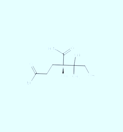 CCC(=O)CC[C@](O)(C(N)=O)C(C)(C)CO